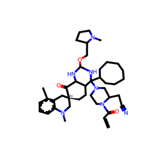 C=CC(=O)N1CCN(C2(C3CCCCCCC3)NC(OCC3CCCN3C)NC3C(=O)[C@@]4(CCC32)Cc2c(C)cccc2N(C)C4)CC1CC#N